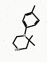 Cc1ccc(N2CCNCC2(C)C)cc1